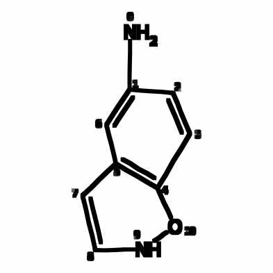 Nc1ccc2c(c1)C=CNO2